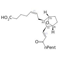 CCCCCC(=O)/C=C/[C@H]1[C@@H](C/C=C\CCCC(=O)O)[C@@H]2CC[C@H]1O2